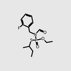 CCOP(=O)(SC(C)CC)N(C=O)Cc1ccccc1F